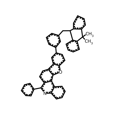 CC1(C)c2ccccc2C(Cc2cccc(-c3ccc4oc5c(ccc6c(-c7ccccc7)nc7ccccc7c65)c4c3)c2)c2ccccc21